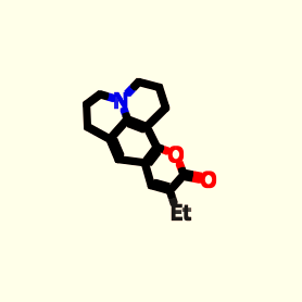 CCc1cc2cc3c4c(c2oc1=O)CCCN4CCC3